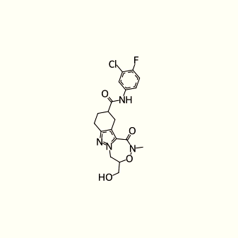 CN1OC(CO)Cn2nc3c(c2C1=O)CC(C(=O)Nc1ccc(F)c(Cl)c1)CC3